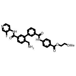 COCCOC(=O)c1ccc(NC(=O)c2cccc(-c3cc(C(=O)Nc4ccncc4F)ccc3CN)c2)cc1